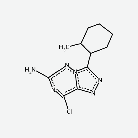 CC1CCCCC1c1nnc2c(Cl)nc(N)nn12